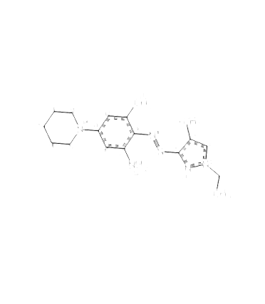 CCn1cc(C)c(N=Nc2c(C)cc(N3CCCCC3)cc2N)n1